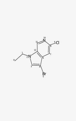 CCn1cc(Br)c2cc(Cl)ncc21